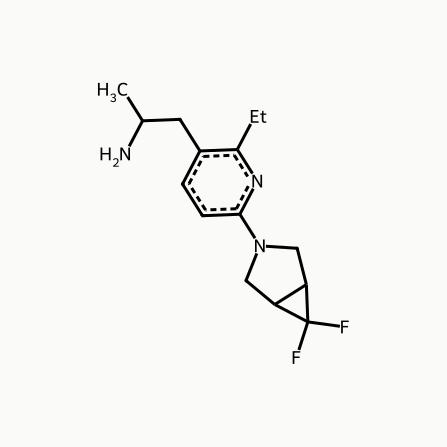 CCc1nc(N2CC3C(C2)C3(F)F)ccc1CC(C)N